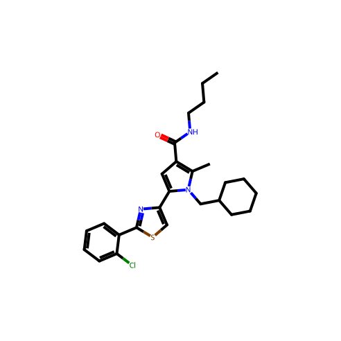 CCCCNC(=O)c1cc(-c2csc(-c3ccccc3Cl)n2)n(CC2CCCCC2)c1C